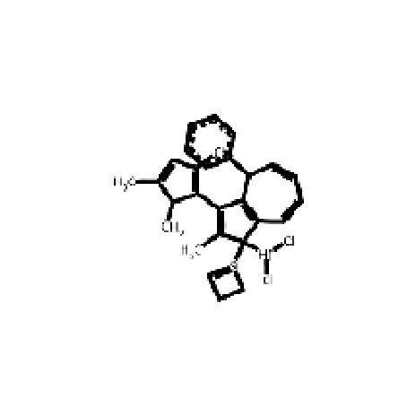 CC1=CC(C)=C(C2=C(C)[C]([Si]3=CCC3)([Hf]([Cl])[Cl])C3=C2C(c2ccccc2)C=CC=C3)C1C